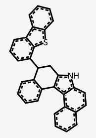 c1ccc2c(c1)-c1c([nH]c3ccc4ccccc4c13)CC2c1cccc2c1sc1ccccc12